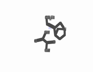 CCOC(=O)/C=C1\CN2CCC1C2.O=C(O)C(=O)O